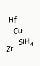 [Cu].[Hf].[SiH4].[Zr]